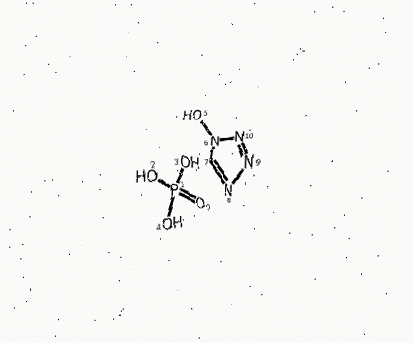 O=P(O)(O)O.On1cnnn1